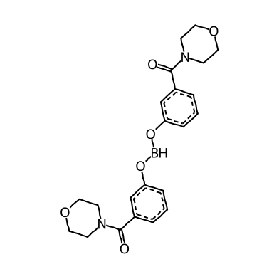 O=C(c1cccc(OBOc2cccc(C(=O)N3CCOCC3)c2)c1)N1CCOCC1